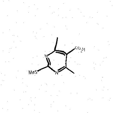 CSc1nc(C)c(C(=O)O)c(C)n1